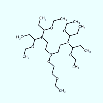 CCOCCON(CCP(C(CC)OCC)C(CC)OCC)CCP(C(CC)OCC)C(CC)OCC